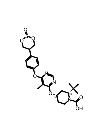 Cc1c(Oc2ccc(C3COS(=O)OC3)cc2)ncnc1O[C@H]1CCN(C(=O)O)[C@@H](C(C)(C)C)C1